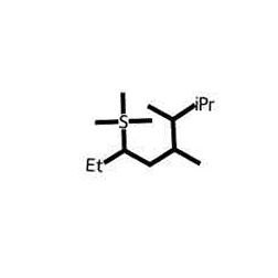 CCC(CC(C)C(C)C(C)C)S(C)(C)C